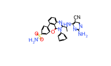 CC(Nc1nc(N)ncc1C#N)c1nc2cccc(-c3ccc(S(N)(=O)=O)cc3)c2c(=O)n1-c1ccccc1